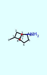 CC1CC23CCCC12CC3N